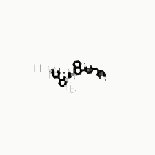 Cc1ncc(-c2ccc(C(C)(C)C)cc2NC(=O)Nc2ccc(-c3ccc(Cc4ccncc4)cn3)c3ccccc23)cn1